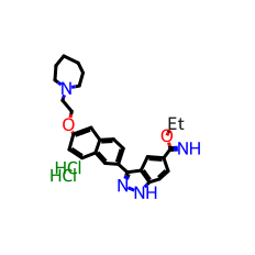 CCOC(=N)c1ccc2[nH]nc(-c3ccc4cc(OCCN5CCCCCC5)ccc4c3)c2c1.Cl.Cl